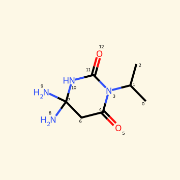 CC(C)N1C(=O)CC(N)(N)NC1=O